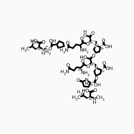 CN[C@@H](CC(C)C)C(=O)O.CN[C@@H](CC(C)C)C(=O)O.NC(=O)CCC(N)C(=O)O[C@@H](CN1CCC[C@H]1C(=O)O)C(=O)O.NC(=O)CC[C@H](N)C(=O)O[C@@H](CN1CCC[C@H]1C(=O)O)C(=O)O.O=C(O)C1CCCC1.O=C1CC[C@@H](C(=O)O)N1